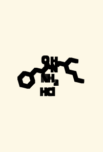 CCCCC(CC)CNC(=O)[C@H](N)CC1CCCCC1.Cl